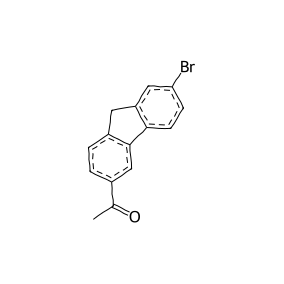 CC(=O)c1ccc2c(c1)-c1ccc(Br)cc1C2